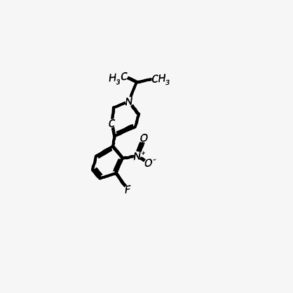 CC(C)N1CC=C(c2cccc(F)c2[N+](=O)[O-])CC1